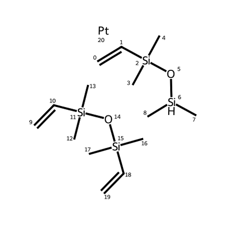 C=C[Si](C)(C)O[SiH](C)C.C=C[Si](C)(C)O[Si](C)(C)C=C.[Pt]